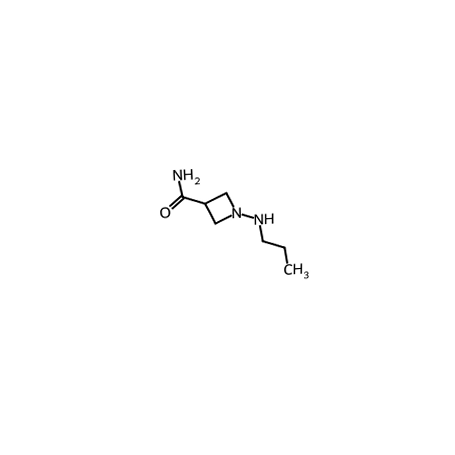 CCCNN1CC(C(N)=O)C1